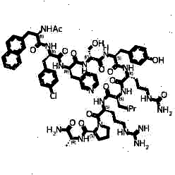 CC(=O)N[C@H](Cc1ccc2ccccc2c1)C(=O)N[C@H](Cc1ccc(Cl)cc1)C(=O)N[C@H](Cc1cccnc1)C(=O)N[C@H](CO)C(=O)N[C@@H](Cc1ccc(O)cc1)C(=O)N[C@H](CCCNC(N)=O)C(=O)N[C@@H](CC(C)C)C(=O)N[C@@H](CCCNC(=N)N)C(=O)N1CCC[C@H]1C(=O)N[C@H](C)C(N)=O